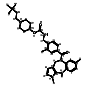 Cc1ccc2c(c1)N(C(=O)c1ccc(CNC(=O)ON3CCN(CCC(C)(C)C)CC3)c(C)c1)Cc1cnn(C)c1N2